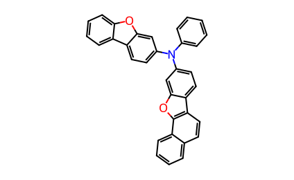 c1ccc(N(c2ccc3c(c2)oc2ccccc23)c2ccc3c(c2)oc2c4ccccc4ccc32)cc1